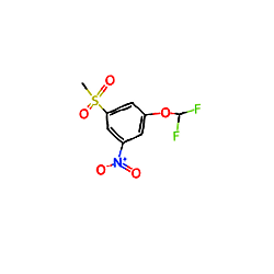 CS(=O)(=O)c1cc(OC(F)F)cc([N+](=O)[O-])c1